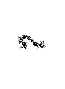 Cc1nc2c(F)cc(-c3nc(Nc4ccc(CN5CCN(C6CN(c7ccc8c(c7)CN(C7CCC(=O)NC7=O)C8=O)C6)CC5)cn4)ncc3F)cc2n1C(C)C